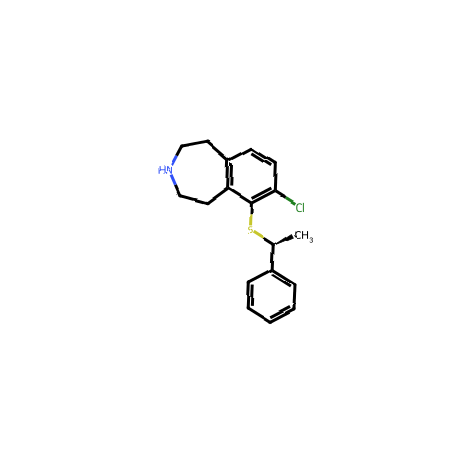 C[C@H](Sc1c(Cl)ccc2c1CCNCC2)c1ccccc1